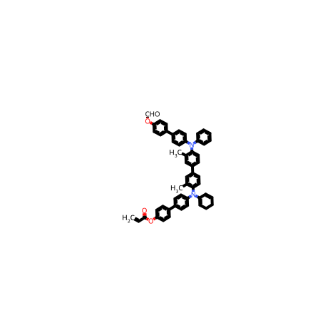 C=CC(=O)Oc1ccc(-c2ccc(N(C3=CCCC=C3)c3ccc(-c4ccc(N(c5ccccc5)c5ccc(-c6ccc(OC=O)cc6)cc5)c(C)c4)cc3C)cc2)cc1